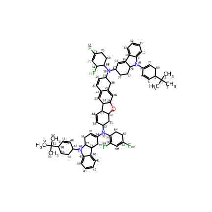 CC(C)(C)C1C=CC(N2c3ccccc3C3=CC(N(C4C=CC5=CC6C(C=C5C4)OC4CC(N(C5=CCC7C(C5)c5ccccc5N7C5C=CC(C(C)(C)C)CC5)C5=C(F)C=C(F)CC5)C=CC46)C4CCC(F)=CC4F)CCC32)=CC1